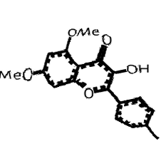 COc1cc(OC)c2c(=O)c(O)c(-c3ccc(C)cc3)oc2c1